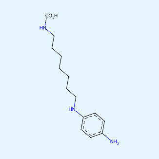 Nc1ccc(NCCCCCCCNC(=O)O)cc1